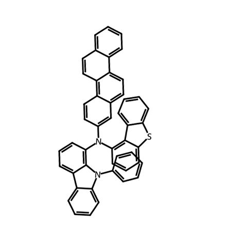 c1ccc(-n2c3ccccc3c3cccc(N(c4ccc5c(ccc6c7ccccc7ccc56)c4)c4cccc5sc6ccccc6c45)c32)cc1